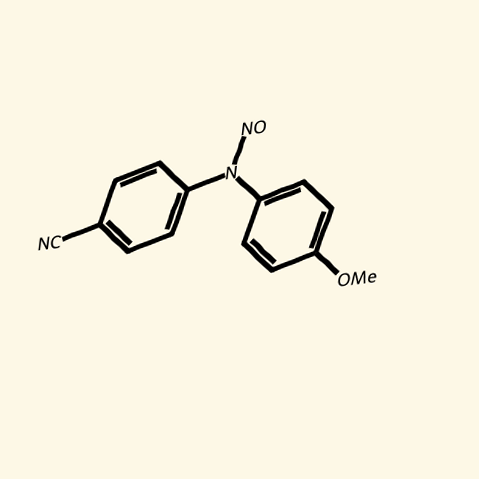 COc1ccc(N(N=O)c2ccc(C#N)cc2)cc1